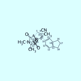 CN1C(=O)[C@@]23C[C@](C)(C#N)[C@H](c4ccc5c(c4)CCC5)N2C(=O)C1(C)SS3